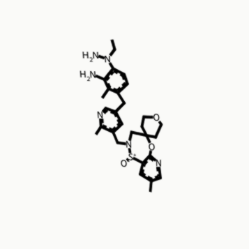 CCN(N)c1ccc(Cc2cnc(C)c(CN3CC4(CCOCC4)Oc4ncc(C)cc4[S+]3[O-])c2)c(C)c1N